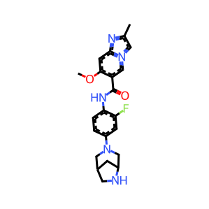 COc1cc2nc(C)cn2cc1C(=O)Nc1ccc(N2CC3CNC(C3)C2)cc1F